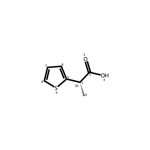 C[C@@H](C(=O)O)c1cccs1